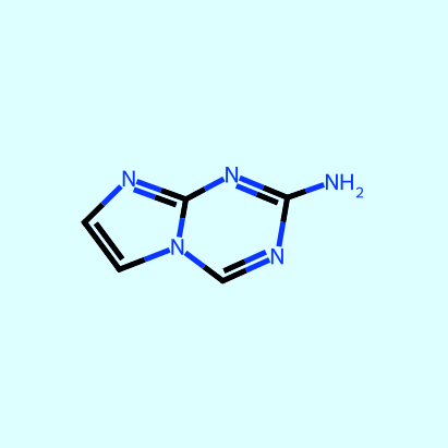 Nc1ncn2ccnc2n1